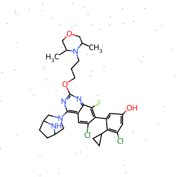 CC1COCC(C)N1CCCOc1nc(N2CC3CCC(C2)N3)c2cc(Cl)c(-c3cc(O)cc(Cl)c3C3CC3)c(F)c2n1